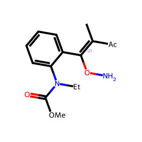 CCN(C(=O)OC)c1ccccc1/C(ON)=C(\C)C(C)=O